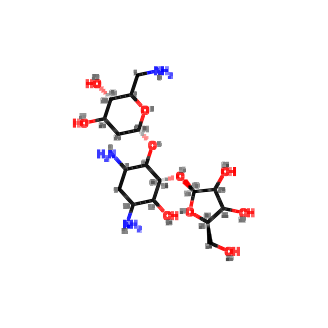 NCC1O[C@H](OC2C(N)CC(N)C(O)[C@H]2O[C@@H]2O[C@H](CO)C(O)C2O)CC(O)[C@@H]1O